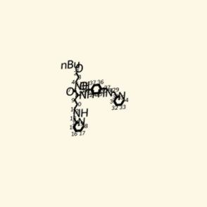 CCCCOCCCNC(=O)C(CCCNCc1ccccn1)NC(=O)c1ccc(CNCc2ccccn2)cc1